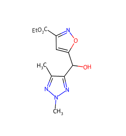 CCOC(=O)c1cc(C(O)c2nn(C)nc2C)on1